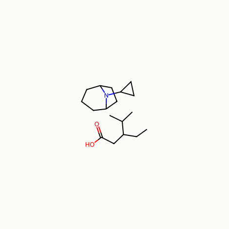 C1CC2CCC(C1)N2C1CC1.CCC(CC(=O)O)C(C)C